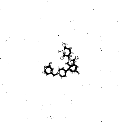 Cc1cc(CN2CCC(c3cc(F)cc4c3CN(C3CCC(=O)NC3=O)C4=O)CC2)ccn1